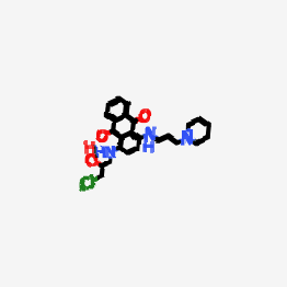 O=C1c2ccccc2C(=O)c2c(NCC(O)CCl)ccc(NCCCN3CCCCC3)c21